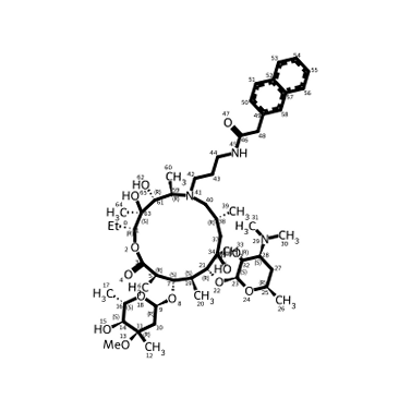 CC[C@H]1OC(=O)[C@H](C)[C@@H](O[C@H]2C[C@@](C)(OC)[C@@H](O)[C@H](C)O2)[C@H](C)[C@@H](O[C@@H]2O[C@H](C)C[C@H](N(C)C)[C@H]2O)[C@](C)(O)C[C@@H](C)CN(CCCNC(=O)Cc2ccc3ccccc3c2)[C@H](C)[C@@H](O)[C@]1(C)O